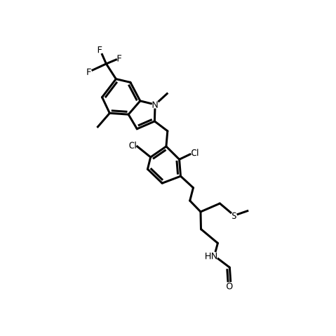 CSCC(CCNC=O)CCc1ccc(Cl)c(Cc2cc3c(C)cc(C(F)(F)F)cc3n2C)c1Cl